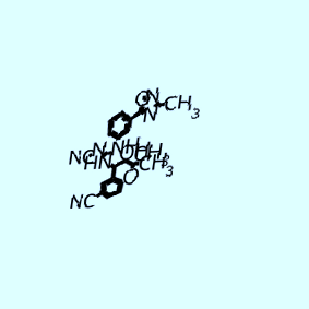 Cc1noc(-c2cccc(N/C(=N/C#N)NC3c4cc(C#N)ccc4OC(C)(C)C3O)c2)n1